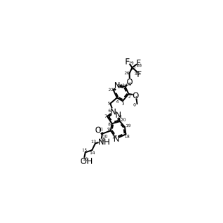 COc1cc(Cn2cc3c(C(=O)NCCCO)nccc3n2)cnc1OCC(F)(F)F